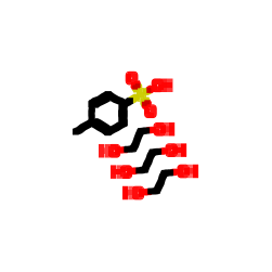 Cc1ccc(S(=O)(=O)O)cc1.OCCO.OCCO.OCCO